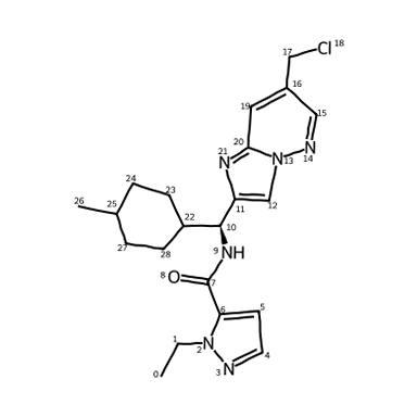 CCn1nccc1C(=O)N[C@H](c1cn2ncc(CCl)cc2n1)C1CCC(C)CC1